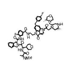 CN[C@@H](C)C(=O)N[C@H](C(=O)N1Cc2ccccc2[C@H]1C(=O)Nc1cc(C(=O)NCCN2C(=O)C3(C)CN(C(=O)CN4C[C@@H](C)NC[C@@H]4CN4CCOC[C@H]4C)c4cc(Cc5ccc(F)cc5)cc2c43)ccc1F)C1CCOCC1